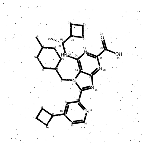 CC1CCC(Cn2c(-c3cc(C4CCC4)ccn3)nc3nc(C(=O)O)nc(N[C@H](C)C4CCC4)c32)CC1